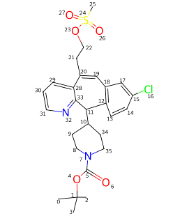 CC(C)(C)OC(=O)N1CCC(C2c3ccc(Cl)cc3C=C(CCOS(C)(=O)=O)c3cccnc32)CC1